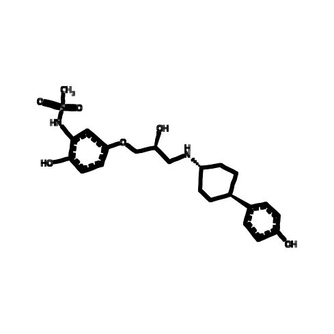 CS(=O)(=O)Nc1cc(OC[C@@H](O)CN[C@H]2CC[C@H](c3ccc(O)cc3)CC2)ccc1O